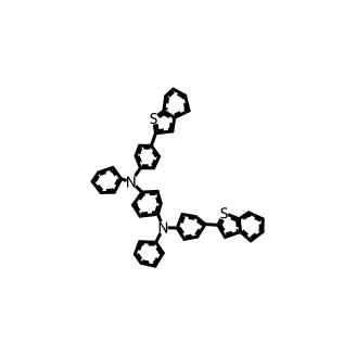 c1ccc(N(c2ccc(-c3cc4ccccc4s3)cc2)c2ccc(N(c3ccccc3)c3ccc(-c4cc5ccccc5s4)cc3)cc2)cc1